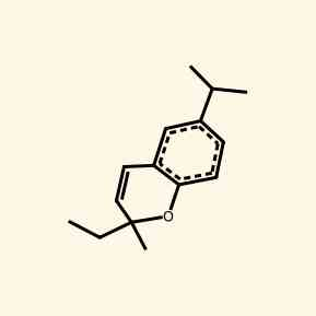 CCC1(C)C=Cc2cc(C(C)C)ccc2O1